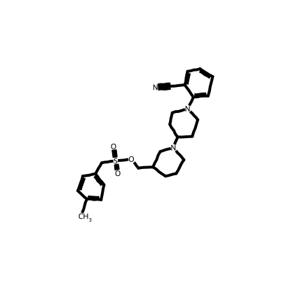 Cc1ccc(CS(=O)(=O)OCC2CCCN(C3CCN(c4ccccc4C#N)CC3)C2)cc1